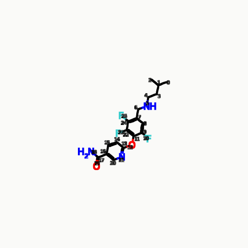 CC(C)CCNCc1cc(F)c(Oc2ccc(C(N)=O)cn2)c(F)c1F